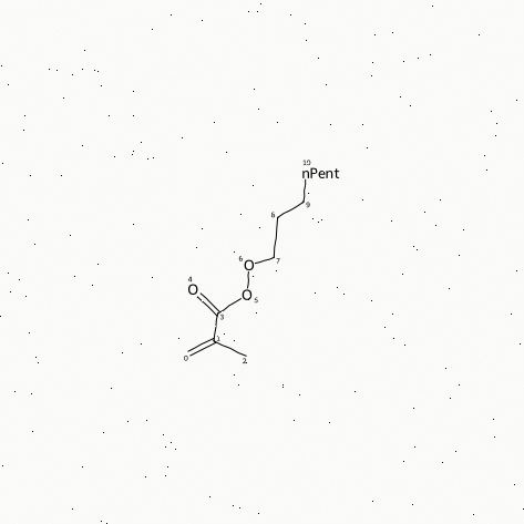 C=C(C)C(=O)OOCCCCCCCC